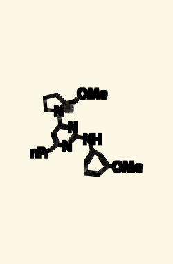 CCCc1cc(N2CCC[C@H]2COC)nc(Nc2cccc(OC)c2)n1